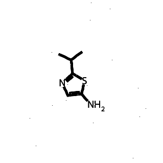 CC(C)c1ncc(N)s1